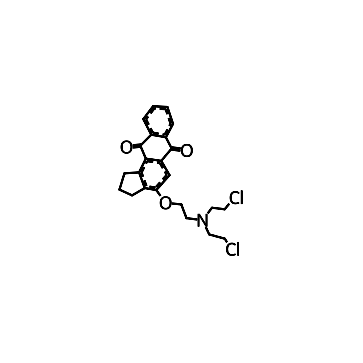 O=C1c2ccccc2C(=O)c2c1cc(OCCN(CCCl)CCCl)c1c2CCC1